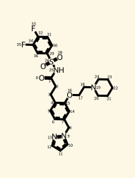 O=C(CCc1ccc(Cn2cccn2)cc1OCCN1CCCCC1)NS(=O)(=O)c1ccc(F)c(F)c1